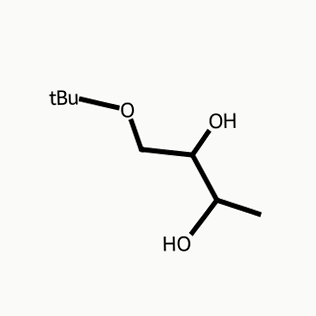 CC(O)C(O)COC(C)(C)C